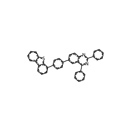 c1ccc(-c2nc(-c3ccccc3)c3cc(-c4ccc(-c5cccc6c5sc5ccccc56)cc4)ccc3n2)cc1